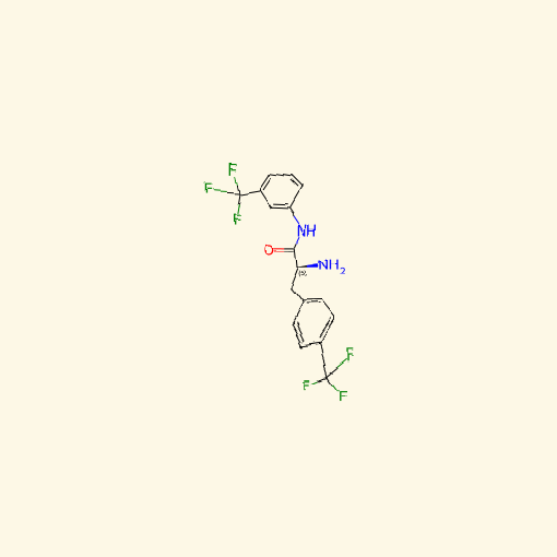 N[C@@H](Cc1ccc(C(F)(F)F)cc1)C(=O)Nc1cccc(C(F)(F)F)c1